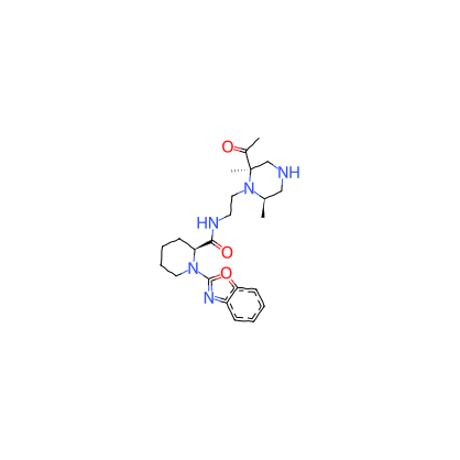 CC(=O)[C@@]1(C)CNC[C@@H](C)N1CCNC(=O)[C@@H]1CCCCN1c1nc2ccccc2o1